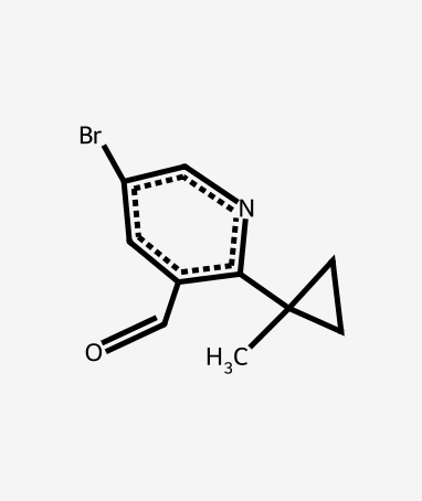 CC1(c2ncc(Br)cc2C=O)CC1